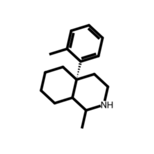 Cc1ccccc1[C@@]12CCCCC1C(C)NCC2